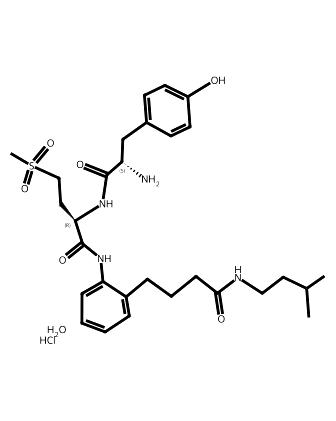 CC(C)CCNC(=O)CCCc1ccccc1NC(=O)[C@@H](CCS(C)(=O)=O)NC(=O)[C@@H](N)Cc1ccc(O)cc1.Cl.O